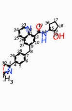 Cc1nc(-c2ccc(Cc3cc(C(=O)N[C@H]4CCC[C@@H]4O)c4ncccc4c3)cc2)co1